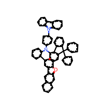 c1ccc(C2(c3ccccc3)c3ccccc3-c3c(N(c4ccc(-n5c6ccccc6c6ccccc65)cc4)c4ccccc4-c4ccc5oc6cc7ccccc7cc6c5c4)cccc32)cc1